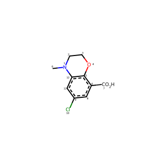 CN1CCOc2c(C(=O)O)cc(Cl)cc21